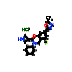 Cl.O=C(C1CNC1)N(Cc1ccc(-c2nnc(C(F)(F)F)o2)cc1F)c1ccccc1